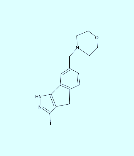 Ic1n[nH]c2c1Cc1ccc(CN3CCOCC3)cc1-2